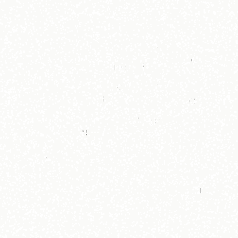 C#CC(C(=O)Oc1c(-c2ccc(F)cc2)cc(-c2cccs2)nc1C(C)C)(C(C)O)[PH](=O)O